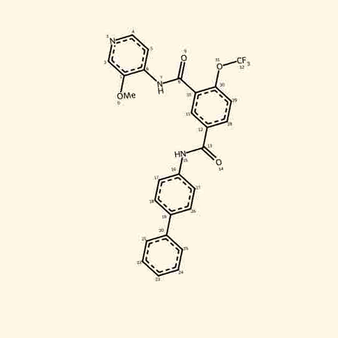 COc1cnccc1NC(=O)c1cc(C(=O)Nc2ccc(-c3ccccc3)cc2)ccc1OC(F)(F)F